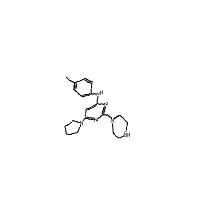 Cc1ccc(Nc2cc(N3CCCC3)nc(N3CCNCC3)n2)cc1